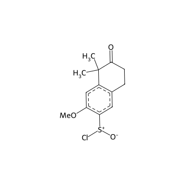 COc1cc2c(cc1[S+]([O-])Cl)CCC(=O)C2(C)C